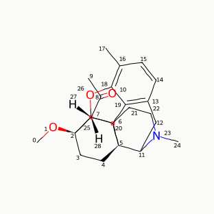 CO[C@]12CC[C@@]3(C[C@H]1C(C)=O)C1Cc4ccc(C)c5c4C3(CCN1C)[C@H]2O5